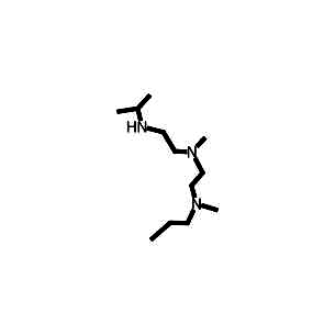 CCCN(C)CCN(C)CCNC(C)C